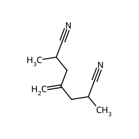 C=C(CC(C)C#N)CC(C)C#N